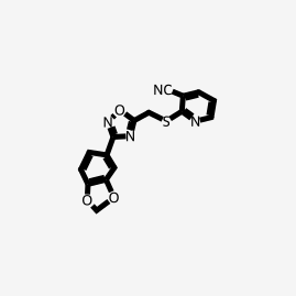 N#Cc1cccnc1SCc1nc(-c2ccc3c(c2)OCO3)no1